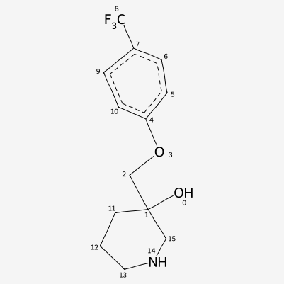 OC1(COc2ccc(C(F)(F)F)cc2)CCCNC1